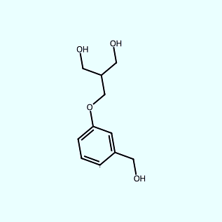 OCc1[c]ccc(OCC(CO)CO)c1